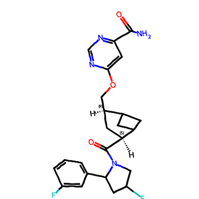 NC(=O)c1cc(OC[C@@H]2C[C@H](C(=O)N3CC(F)CC3c3cccc(F)c3)C3CC2C3)ncn1